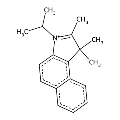 CC1=[N+](C(C)C)c2ccc3ccccc3c2C1(C)C